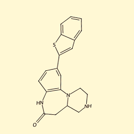 O=C1CC2CNCCN2c2cc(-c3cc4ccccc4s3)ccc2N1